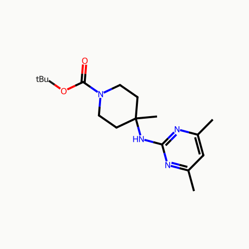 Cc1cc(C)nc(NC2(C)CCN(C(=O)OC(C)(C)C)CC2)n1